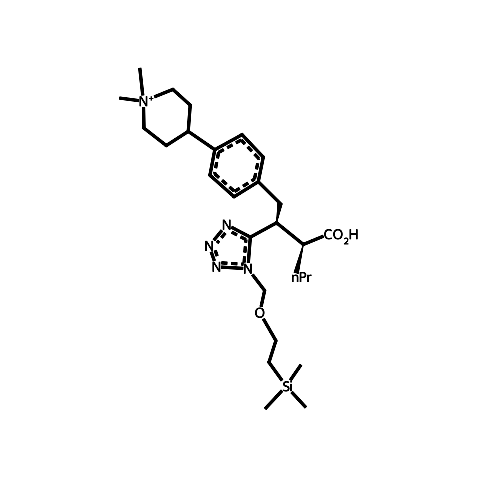 CCC[C@H](C(=O)O)[C@H](Cc1ccc(C2CC[N+](C)(C)CC2)cc1)c1nnnn1COCC[Si](C)(C)C